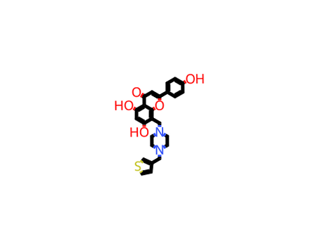 O=c1cc(-c2ccc(O)cc2)oc2c(CN3CCN(Cc4ccsc4)CC3)c(O)cc(O)c12